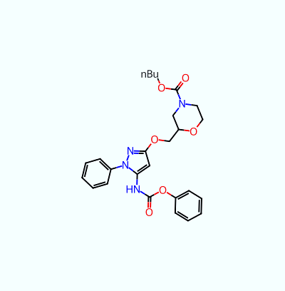 CCCCOC(=O)N1CCOC(COc2cc(NC(=O)Oc3ccccc3)n(-c3ccccc3)n2)C1